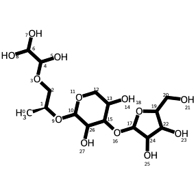 C[C@@H](COC(O)C(O)O)OC1OCC(O)C(OC2OC(CO)C(O)C2O)C1O